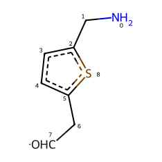 NCc1ccc(C[C]=O)s1